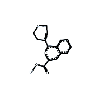 COC(=O)c1cc2ccccc2c(C2=CCOCC2)n1